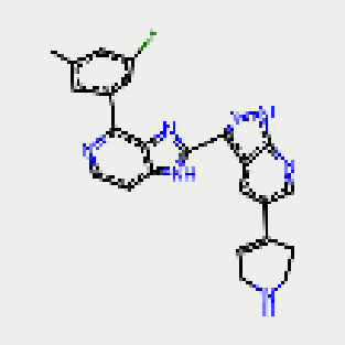 Cc1cc(F)cc(-c2nccc3[nH]c(-c4n[nH]c5ncc(C6=CCNCC6)cc45)nc23)c1